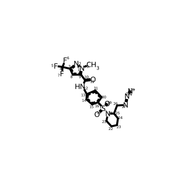 Cn1nc(C(F)(F)F)cc1C(=O)Nc1ccc(S(=O)(=O)N2CCCCC2CN=[N+]=[N-])cc1